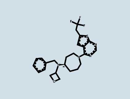 FC(F)(F)Cc1cc2c(N3CCC[C@@H](N(Cc4ccccc4)C4COC4)CC3)ncnc2s1